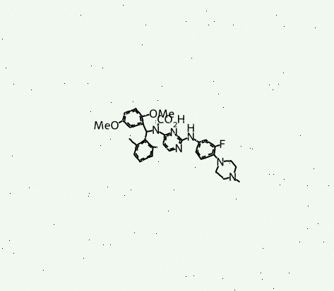 COc1ccc(OC)c(C(c2c(C)cccc2C)N(C(=O)O)c2ccnc(Nc3ccc(N4CCN(C)CC4)c(F)c3)n2)c1